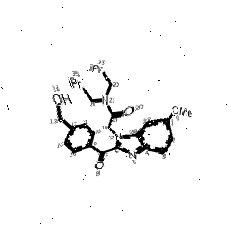 COc1ccc2nc(C(=O)c3ccc(CO)cc3)n(CC(=O)N(CC(C)C)CC(C)C)c2c1